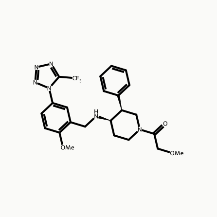 COCC(=O)N1CC[C@@H](NCc2cc(-n3nnnc3C(F)(F)F)ccc2OC)[C@@H](c2ccccc2)C1